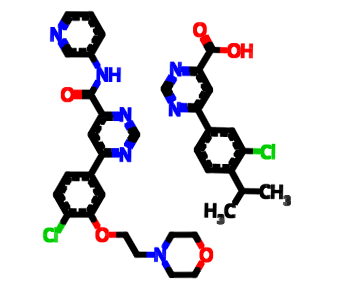 CC(C)c1ccc(-c2cc(C(=O)O)ncn2)cc1Cl.O=C(Nc1cccnc1)c1cc(-c2ccc(Cl)c(OCCN3CCOCC3)c2)ncn1